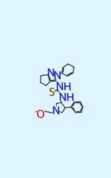 COCCN1CC(c2ccccc2)[C@H](NC(=S)Nc2c3c(nn2C2=CCCC=C2)CCC3)C1